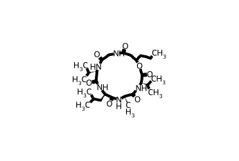 CCCC1CC(=O)NCC(=O)N[C@@H](C(C)C)C(=O)N[C@H](CC(C)C)C(=O)N[C@@H](C)C(=O)N[C@@H](C(C)C)C(=O)O1